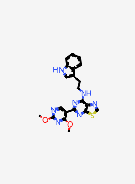 COc1ncc(-c2nc(NCCc3c[nH]c4ccccc34)c3ncsc3n2)c(OC)n1